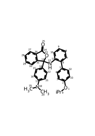 CC(C)Oc1ccc(-c2ccccc2NC2(c3ccc(N(C)C)cc3)OC(=O)c3ccccc32)cc1